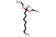 CCCCCCCCC(C)(OCC)OCC